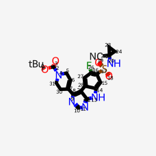 CC(C)(C)OC(=O)N1CC=C(c2ncnc3[nH]c4cc(S(=O)(=O)NC5(C#N)CC5)c(F)cc4c23)CC1